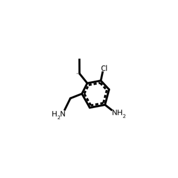 C[CH]c1c(Cl)cc(N)cc1CN